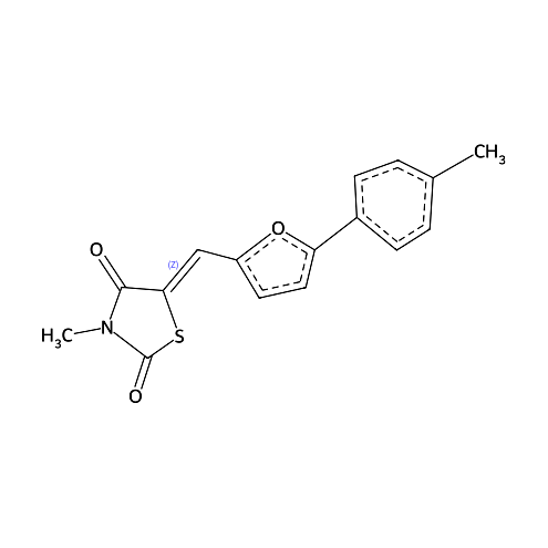 Cc1ccc(-c2ccc(/C=C3\SC(=O)N(C)C3=O)o2)cc1